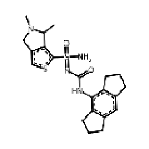 CC1c2c(csc2S(N)(=O)=NC(=O)Nc2c3c(cc4c2CCC4)CCC3)CN1C